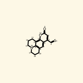 O=c1cc(C=S)c2cc3c4c(c2o1)CCCN4CCC3